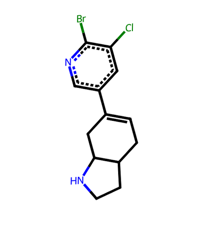 Clc1cc(C2=CCC3CCNC3C2)cnc1Br